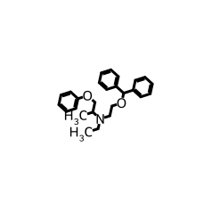 CCN(CCOC(c1ccccc1)c1ccccc1)C(C)COc1ccccc1